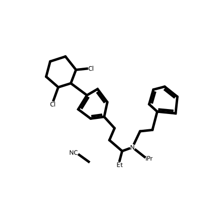 CC#N.CCC(CCc1ccc(C2C(Cl)CCCC2Cl)cc1)N(CCc1ccccc1)C(C)C